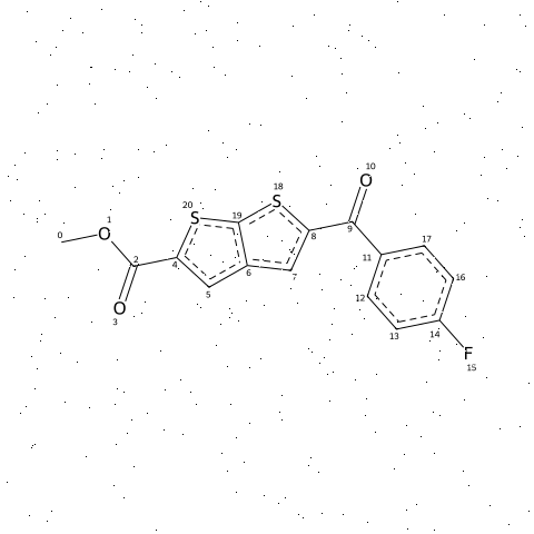 COC(=O)c1cc2cc(C(=O)c3ccc(F)cc3)sc2s1